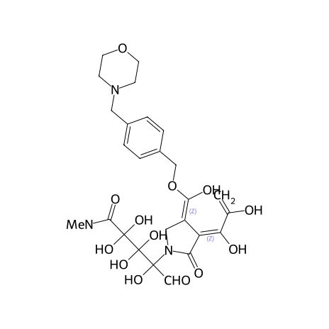 C=C(O)/C(O)=C1/C(=O)N(C(O)(C=O)C(O)(O)C(O)(O)C(=O)NC)C/C1=C(/O)OCc1ccc(CN2CCOCC2)cc1